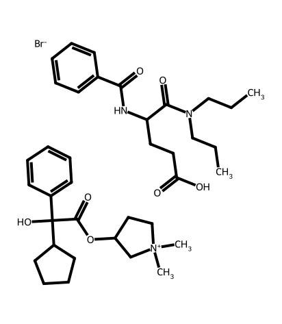 CCCN(CCC)C(=O)C(CCC(=O)O)NC(=O)c1ccccc1.C[N+]1(C)CCC(OC(=O)C(O)(c2ccccc2)C2CCCC2)C1.[Br-]